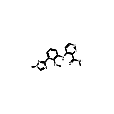 CNC(=O)c1nnccc1Nc1cccc(-c2ncn(C)n2)c1OC